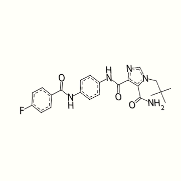 CC(C)(C)Cn1cnc(C(=O)Nc2ccc(NC(=O)c3ccc(F)cc3)cc2)c1C(N)=O